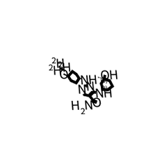 [2H]C([2H])([2H])O[C@H]1CC[C@H](Nc2ncc(C(N)=O)c(N[C@@H]3CCC[C@](C)(O)C3)n2)CC1